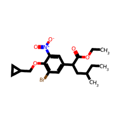 CCOC(=O)C(CC(C)CC)c1cc(Br)c(OCC2CC2)c([N+](=O)[O-])c1